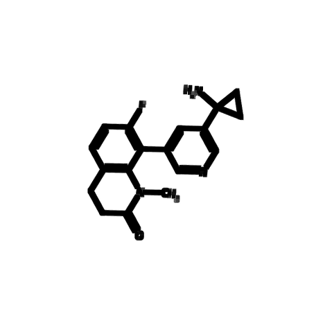 CN1C(=O)CCc2ccc(F)c(-c3cncc(C4(N)CC4)c3)c21